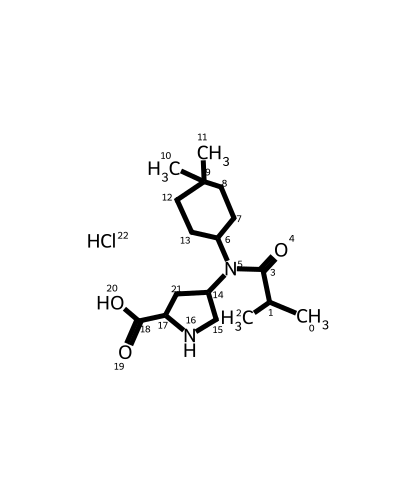 CC(C)C(=O)N(C1CCC(C)(C)CC1)C1CNC(C(=O)O)C1.Cl